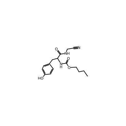 CCCCOC(=O)NC(Cc1ccc(O)cc1)C(=O)NCC#N